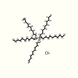 CCCCCCCCCC[O][Ti+]([N](CCCCCCCCCC)CCCCCCCCCC)[N](CCCCCCCCCC)CCCCCCCCCC.[Cl-]